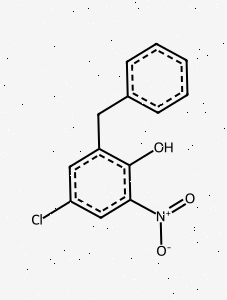 O=[N+]([O-])c1cc(Cl)cc(Cc2ccccc2)c1O